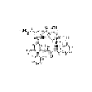 CC1CC(N)(C(=O)O)CCN1C(=O)[C@@H](CCCCN)NC(=O)C(CCC(F)(F)F)NC(=O)[C@@H](Cc1ccccc1)NC(=O)[C@H](N)Cc1ccccc1